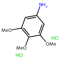 COc1cc(N)cc(OC)c1OC.Cl.Cl